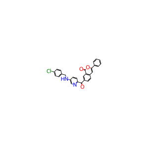 O=C(c1ccc2cc(-c3ccccc3)oc(=O)c2c1)c1ccc(NCc2ccc(Cl)cc2)cn1